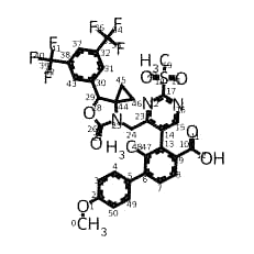 COc1ccc(-c2ccc(C(=O)O)c(-c3cnc(S(C)(=O)=O)nc3CN3C(=O)OC(c4cc(C(F)(F)F)cc(C(F)(F)F)c4)C34CC4)c2C)cc1